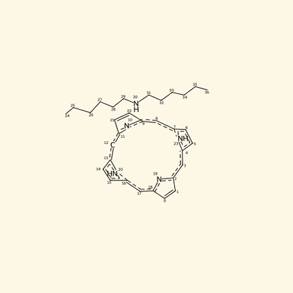 C1=Cc2cc3ccc(cc4nc(cc5ccc(cc1n2)[nH]5)C=C4)[nH]3.CCCCCCNCCCCCC